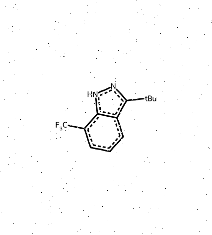 CC(C)(C)c1n[nH]c2c(C(F)(F)F)cccc12